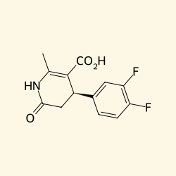 CC1=C(C(=O)O)[C@@H](c2ccc(F)c(F)c2)CC(=O)N1